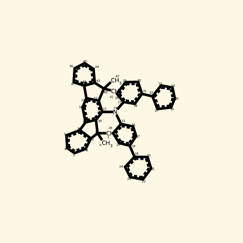 CC1(C)c2ccccc2-c2cc3c(c(N(c4ccc(-c5ccccc5)cc4)c4cccc(-c5ccccc5)c4)c21)C(C)(C)c1ccccc1-3